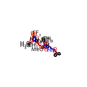 COc1cc2c(cc1OCCCOc1cc3c(cc1OC)C(=O)N1C=C(OS(=O)(=O)C(F)(F)F)C[C@H]1C(=O)N3COCC[Si](C)(C)C)N(COCC[Si](C)(C)C)C(=O)[C@@H]1CC(C=CCNC(=O)OCC3c4ccccc4-c4ccccc43)=CN1C2=O